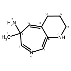 CC1(N)C=NC=C2NCCCC2=C1